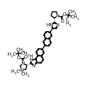 CC(C)(C)OC(=O)N1CCC[C@H]1c1ncc(-c2ccc3cc(-c4ccc5c(ccc6nc([C@@H]7C[Si](C)(C)CN7C(=O)OC(C)(C)C)[nH]c65)c4)ccc3c2)[nH]1